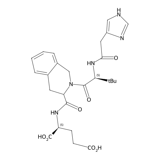 CC(C)(C)[C@H](NC(=O)Cc1c[nH]cn1)C(=O)N1Cc2ccccc2CC1C(=O)N[C@@H](CCC(=O)O)C(=O)O